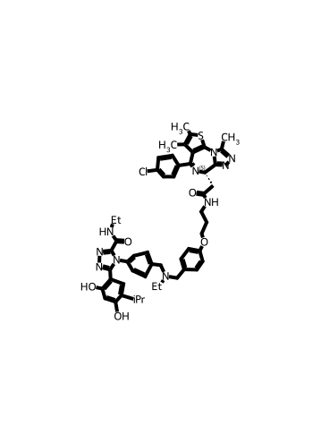 CCNC(=O)c1nnc(-c2cc(C(C)C)c(O)cc2O)n1-c1ccc(CN(CC)Cc2ccc(OCCCNC(=O)C[C@@H]3N=C(c4ccc(Cl)cc4)c4c(sc(C)c4C)-n4c(C)nnc43)cc2)cc1